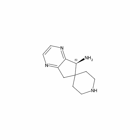 N[C@@H]1c2nccnc2CC12CCNCC2